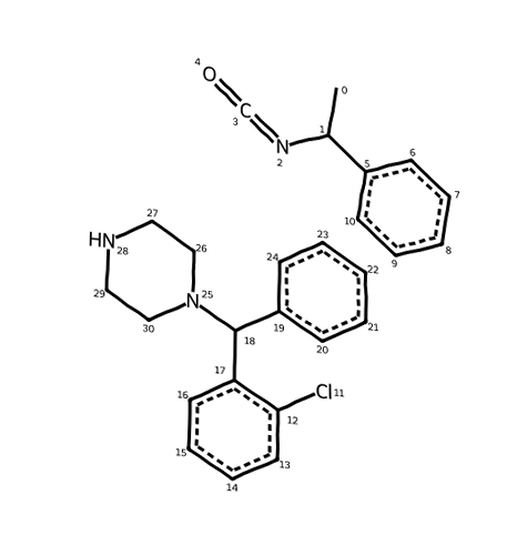 CC(N=C=O)c1ccccc1.Clc1ccccc1C(c1ccccc1)N1CCNCC1